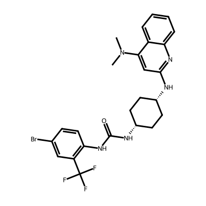 CN(C)c1cc(N[C@H]2CC[C@@H](NC(=O)Nc3ccc(Br)cc3C(F)(F)F)CC2)nc2ccccc12